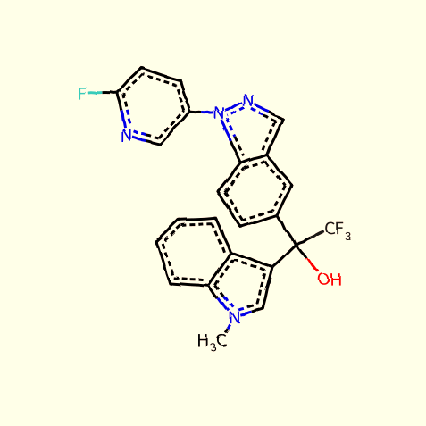 Cn1cc(C(O)(c2ccc3c(cnn3-c3ccc(F)nc3)c2)C(F)(F)F)c2ccccc21